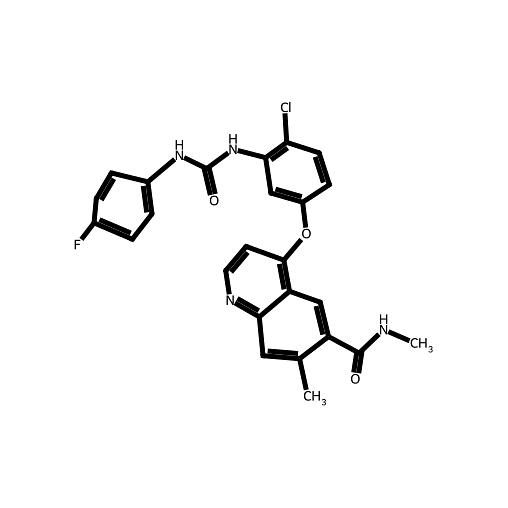 CNC(=O)c1cc2c(Oc3ccc(Cl)c(NC(=O)Nc4ccc(F)cc4)c3)ccnc2cc1C